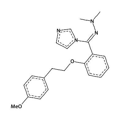 COc1ccc(CCOc2ccccc2C(=NN(C)C)n2ccnc2)cc1